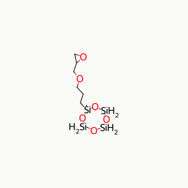 C(COCC1CO1)C[Si]1O[SiH2]O[SiH2]O[SiH2]O1